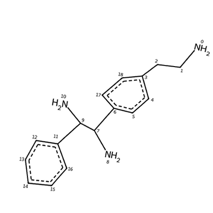 NCCc1ccc(C(N)C(N)c2ccccc2)cc1